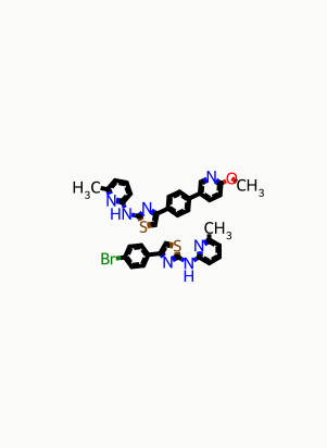 COc1ccc(-c2ccc(-c3csc(Nc4cccc(C)n4)n3)cc2)cn1.Cc1cccc(Nc2nc(-c3ccc(Br)cc3)cs2)n1